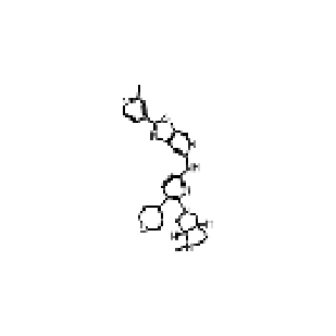 Cc1cc(-c2nc3cc(Nc4ccc(C5CCOCC5)c(N5C[C@@H]6CCN(C)[C@@H]6C5)n4)ncc3s2)ccn1